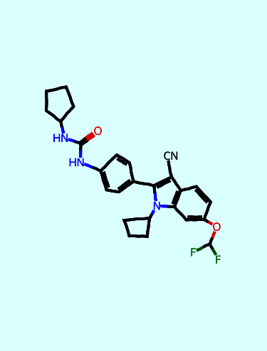 N#Cc1c(-c2ccc(NC(=O)NC3CCCC3)cc2)n(C2CCC2)c2cc(OC(F)F)ccc12